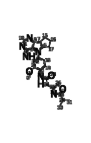 COc1cc(-n2c3c(c4ncnc(N)c42)CCC3)ccc1NC(=O)Cc1coc(C(C)C)n1